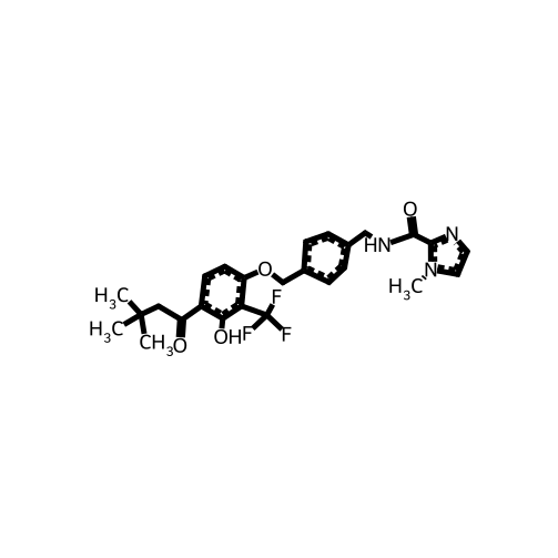 Cn1ccnc1C(=O)NCc1ccc(COc2ccc(C(=O)CC(C)(C)C)c(O)c2C(F)(F)F)cc1